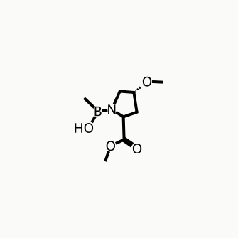 COC(=O)C1C[C@@H](OC)CN1B(C)O